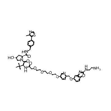 Cc1ncsc1-c1ccc(CNC(=O)[C@@H]2C[C@@H](O)CN2C(=O)[C@@H](NC(=O)COCCOCCOCCOc2ccc(COc3ccc4oc(NCCN)nc4c3)nc2)C(C)(C)C)cc1